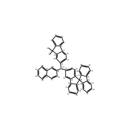 CC1(C)c2ccccc2-c2ccc(N(c3ccc4c(c3)-c3ccccc3C43c4ccccc4-c4ccccc43)c3ccc4ccccc4c3)cc21